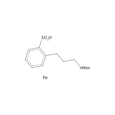 CCCCCCCCCCCCc1ccccc1S(=O)(=O)O.[Fe]